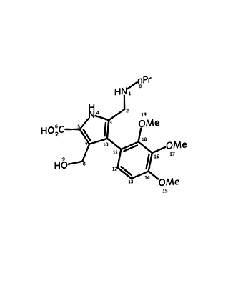 CCCNCc1[nH]c(C(=O)O)c(CO)c1-c1ccc(OC)c(OC)c1OC